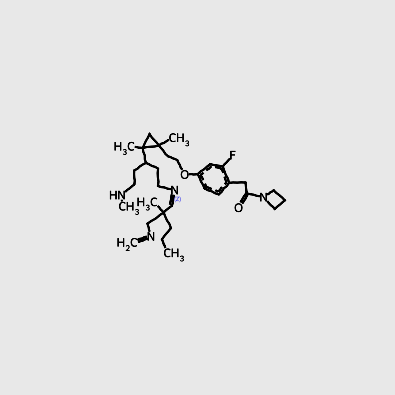 C=NCC(C)(/C=N\CCC(CCNC)C1(C)CC1(C)CCOc1ccc(CC(=O)N2CCC2)c(F)c1)CCC